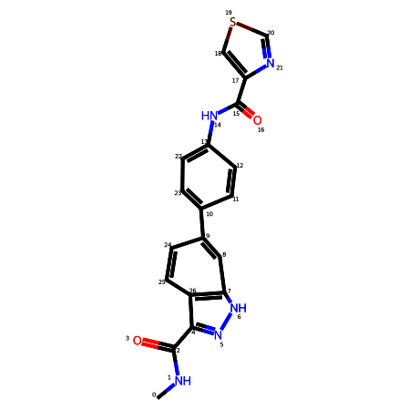 CNC(=O)c1n[nH]c2cc(-c3ccc(NC(=O)c4cscn4)cc3)ccc12